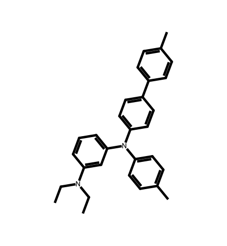 CCN(CC)c1cccc(N(c2ccc(C)cc2)c2ccc(-c3ccc(C)cc3)cc2)c1